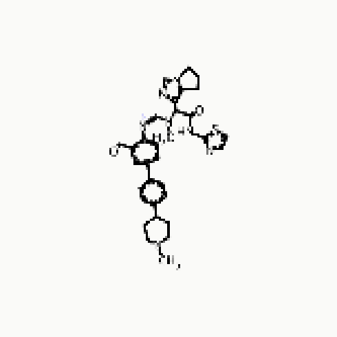 CN1CCC(c2ccc(-c3ccc(/N=C\N(C)C(C(=O)Nc4nccs4)c4ncn5c4CCC5)c(C=O)c3)cc2)CC1